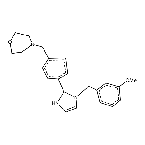 COc1cccc(CN2C=CNC2c2ccc(CN3CCOCC3)cc2)c1